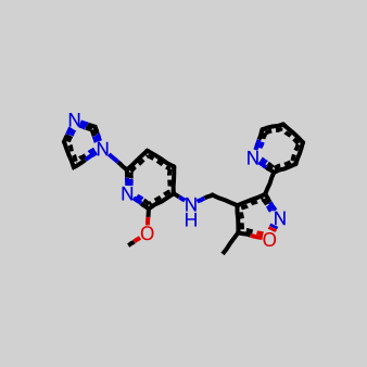 COc1nc(-n2ccnc2)ccc1NCc1c(-c2ccccn2)noc1C